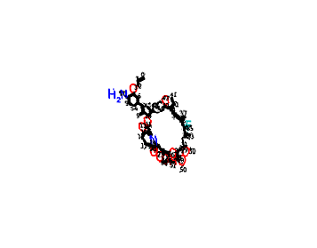 C=CCOC1CC(C=C(C)C2OC(=O)C3CCCCN3C(=O)C(=O)C3(O)OC(C(OC)CC(C)C(F)/C(C)=C/C(CC)C(=O)CCC2C)C(OC)CC3C)CCC1N